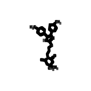 Cc1ccc(-c2nc(SCCCN3C(=O)CC(C)(C)CC3=O)[nH]c2-c2ccc(C)cc2)cc1